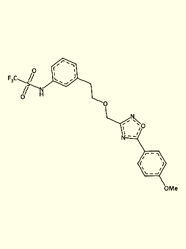 COc1ccc(-c2nc(COCCc3cccc(NS(=O)(=O)C(F)(F)F)c3)no2)cc1